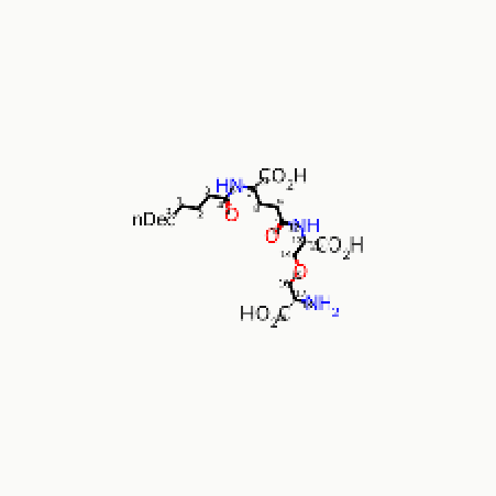 CCCCCCCCCCCCCC(=O)N[C@H](CCC(=O)N[C@@H](COC[C@H](N)C(=O)O)C(=O)O)C(=O)O